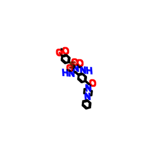 N=c1c2ccc(C(=O)N3CCN(c4ccccc4)CC3)cc2[nH]c(=O)n1S(=O)(=O)c1ccc2c(c1)OCO2